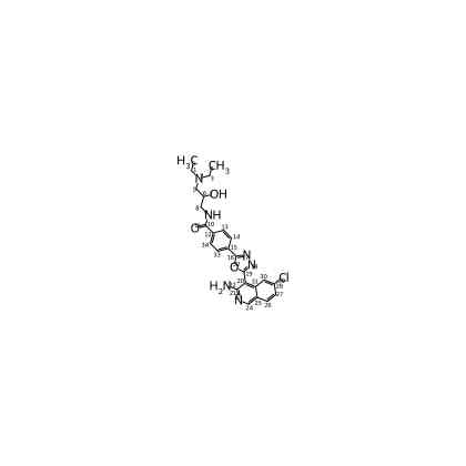 CCN(CC)CC(O)CNC(=O)c1ccc(-c2nnc(-c3c(N)ncc4ccc(Cl)cc34)o2)cc1